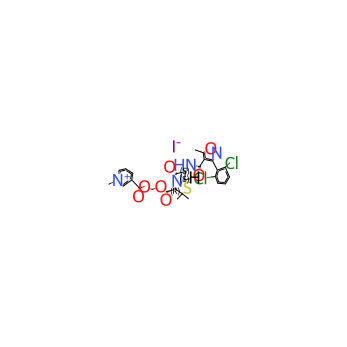 Cc1onc(-c2c(Cl)cccc2Cl)c1C(=O)N[C@H]1C(=O)N2[C@H]1SC(C)(C)[C@H]2C(=O)OCOC(=O)c1ccc[n+](C)c1.[I-]